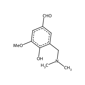 COc1cc(C=O)cc(CN(C)C)c1O